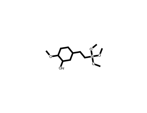 COC1CCC(CC[Si](OC)(OC)OC)CC1O